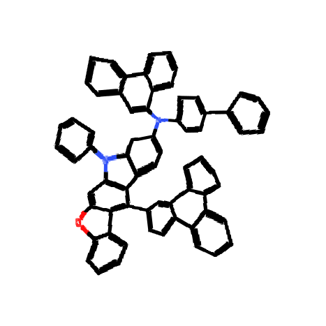 C1=C2c3c(cc4oc5ccccc5c4c3-c3ccc4c5ccccc5c5ccccc5c4c3)N(c3ccccc3)C2CC(N(c2ccc(-c3ccccc3)cc2)c2cc3ccccc3c3ccccc23)=C1